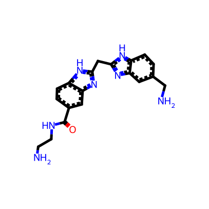 NCCNC(=O)c1ccc2[nH]c(Cc3nc4cc(CN)ccc4[nH]3)nc2c1